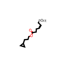 CCCCCCCCC/C=C\CCC(=O)OCCCC1CC1